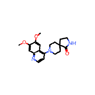 COc1cc2nccc(N3CCC4(CCNC4=O)CC3)c2cc1OC